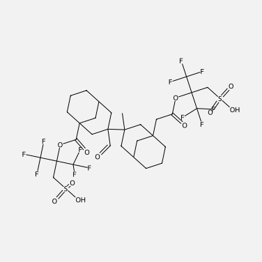 CC1(C2(C=O)CC3CCCC(C(=O)OC(CS(=O)(=O)O)(C(F)(F)F)C(F)(F)F)(C3)C2)CC2CCCC(CC(=O)OC(CS(=O)(=O)O)(C(F)(F)F)C(F)(F)F)(C2)C1